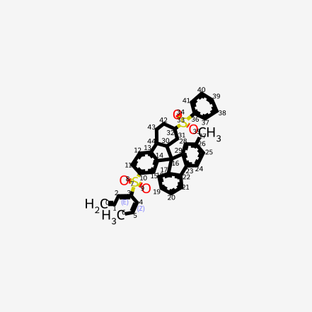 C=C/C=C(\C=C/C)S(=O)(=O)c1ccc2c(c1)C1(c3ccccc3-c3ccc(C)cc31)C1CC(S(=O)(=O)c3ccccc3)CCC21